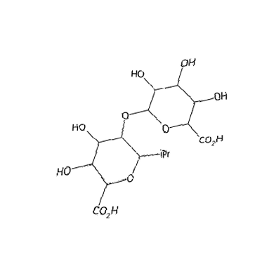 CC(C)C1OC(C(=O)O)C(O)C(O)C1OC1OC(C(=O)O)C(O)C(O)C1O